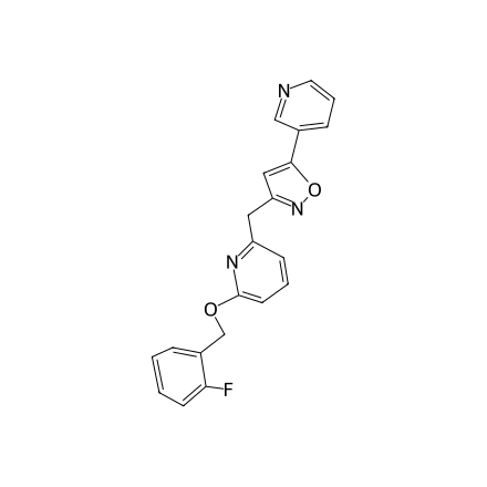 Fc1ccccc1COc1cccc(Cc2cc(-c3cccnc3)on2)n1